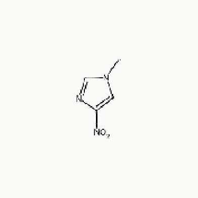 [CH2]n1cnc([N+](=O)[O-])c1